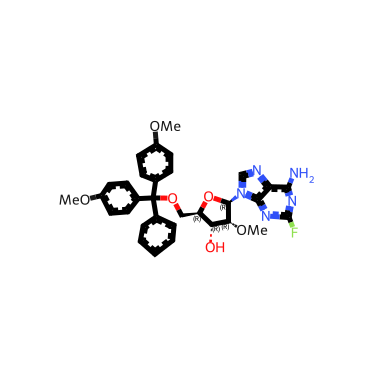 COc1ccc(C(OC[C@H]2O[C@@H](n3cnc4c(N)nc(F)nc43)[C@H](OC)[C@@H]2O)(c2ccccc2)c2ccc(OC)cc2)cc1